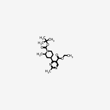 CCOC(=O)c1cnc(C)nc1C1CCN(C(=O)OC(C)(C)C)C(C)C1